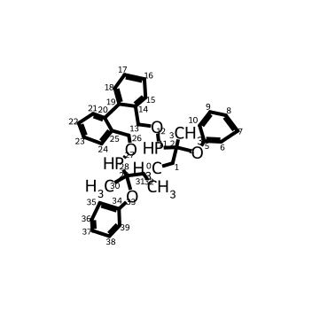 CCC(C)(Oc1ccccc1)POCc1ccccc1-c1ccccc1COPC(C)(CC)Oc1ccccc1